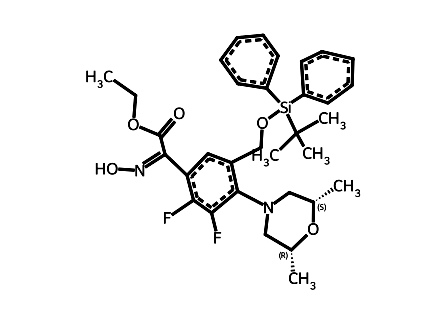 CCOC(=O)C(=NO)c1cc(CO[Si](c2ccccc2)(c2ccccc2)C(C)(C)C)c(N2C[C@@H](C)O[C@@H](C)C2)c(F)c1F